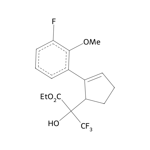 CCOC(=O)C(O)(C1CCC=C1c1cccc(F)c1OC)C(F)(F)F